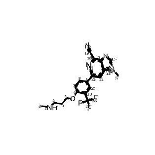 CNCCCOc1ccc(-c2cc3c(ncn3C)c(C#N)n2)cc1C(F)(F)F